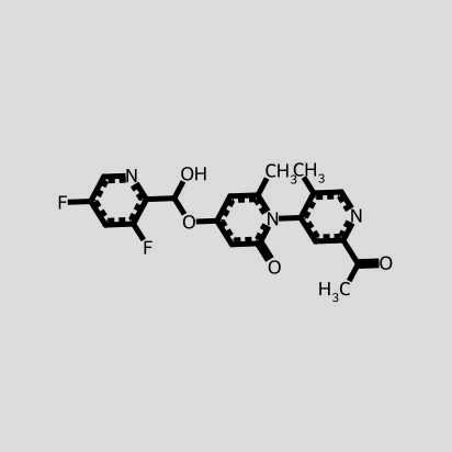 CC(=O)c1cc(-n2c(C)cc(OC(O)c3ncc(F)cc3F)cc2=O)c(C)cn1